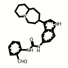 O=Cc1ccccc1NC(=O)Nc1ccc2[nH]cc(C3CCC4CCCCN4CC3)c2c1